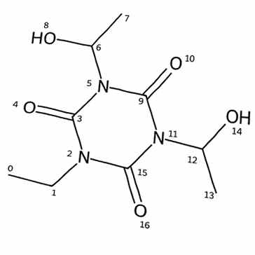 CCn1c(=O)n(C(C)O)c(=O)n(C(C)O)c1=O